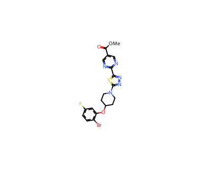 COC(=O)c1cnc(-c2nnc(N3CCC(Oc4cc(F)ccc4Br)CC3)s2)nc1